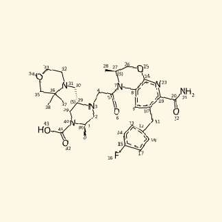 C[C@@H]1CN(CC(=O)N2c3cc(Cc4ccc(F)cc4)c(C(N)=O)nc3OC[C@@H]2C)[C@@H](CN2CCOCC2(C)C)CN1C(=O)O